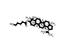 C=C(C)[C@@H]1CC[C@]2(C)CC[C@]3(C)[C@H](CC[C@@H]4[C@@]5(C)CCC(OC(=O)CCCCO)C(C)(C)C5CC[C@]43C)C12